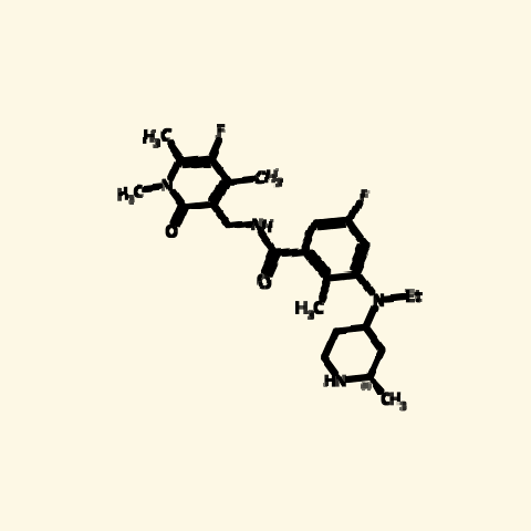 CCN(c1cc(F)cc(C(=O)NCc2c(C)c(F)c(C)n(C)c2=O)c1C)C1CCN[C@H](C)C1